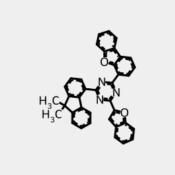 CC1(C)c2ccccc2-c2c(-c3nc(-c4cc5ccccc5o4)nc(-c4cccc5c4oc4ccccc45)n3)cccc21